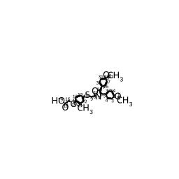 COc1ccc(-c2nc(CSc3ccc(OCC(=O)O)c(C)c3)oc2-c2ccc(OC)cc2)cc1